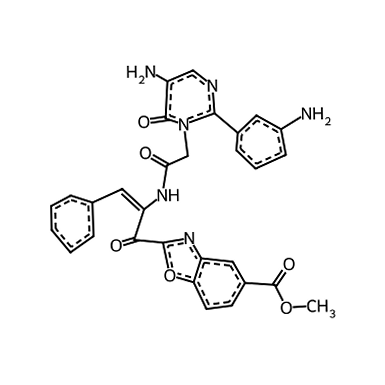 COC(=O)c1ccc2oc(C(=O)C(=Cc3ccccc3)NC(=O)Cn3c(-c4cccc(N)c4)ncc(N)c3=O)nc2c1